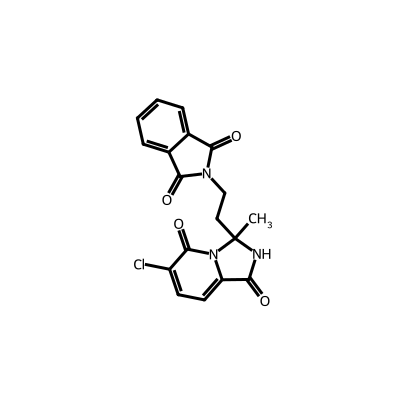 CC1(CCN2C(=O)c3ccccc3C2=O)NC(=O)c2ccc(Cl)c(=O)n21